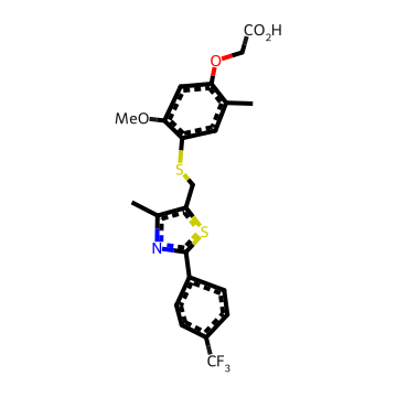 COc1cc(OCC(=O)O)c(C)cc1SCc1sc(-c2ccc(C(F)(F)F)cc2)nc1C